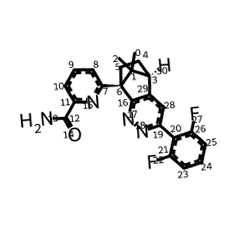 CC1(C)[C@H]2CC[C@@]1(c1cccc(C(N)=O)n1)c1nnc(-c3c(F)cccc3F)cc12